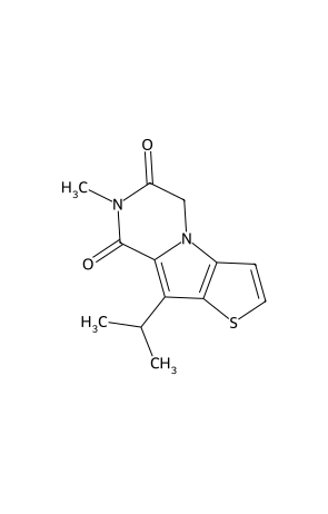 CC(C)c1c2n(c3ccsc13)CC(=O)N(C)C2=O